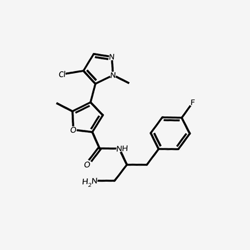 Cc1oc(C(=O)NC(CN)Cc2ccc(F)cc2)cc1-c1c(Cl)cnn1C